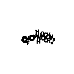 CC(C)(C)OC(=O)NNC1CCN(c2ccccc2F)CC1